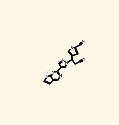 N#CCC(c1csc(C#N)c1)n1cc(-c2ncc3cc[nH]c3n2)cn1